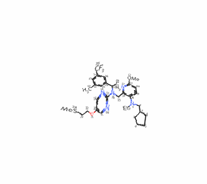 CCN(CC1CCCC1)c1ccc(OC)nc1CN(c1ncc(OCCSC)cn1)C(C)c1cc(C)cc(C(F)(F)F)c1